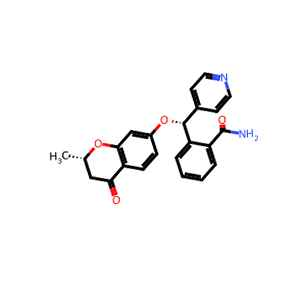 C[C@H]1CC(=O)c2ccc(O[C@H](c3ccncc3)c3ccccc3C(N)=O)cc2O1